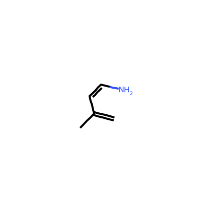 C=C(C)/C=C\N